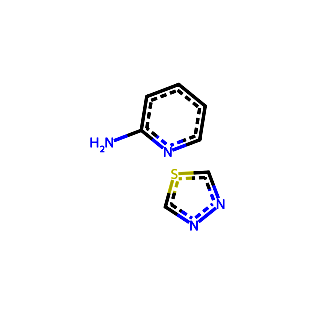 Nc1ccccn1.c1nncs1